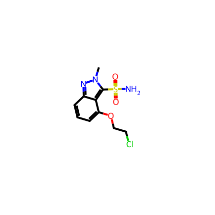 Cn1nc2cccc(OCCCl)c2c1S(N)(=O)=O